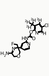 [2H]c1nc(OC(=O)Nc2cc(C3(CF)COCC(N)=N3)ccn2)c(C([2H])([2H])[2H])c([2H])c1Cl